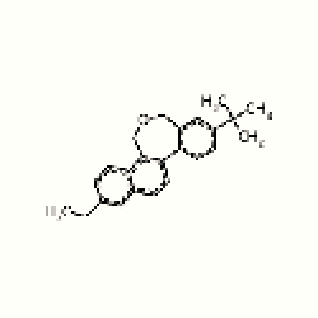 CCc1ccc2c3c(ccc2c1)-c1ccc(C(C)(C)C)cc1COC3